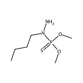 CCCCN(N)P(=S)(OC)OC